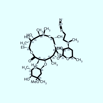 CC[C@H]1OC(=O)[C@H](C)[C@@H](O[C@H]2C[C@@](C)(OC)[C@@H](O)[C@H](C)O2)[C@H](C)[C@@H](O[C@@H]2O[C@H](C)C[C@H](N(C)CCN=[N+]=[N-])[C@H]2O)[C@](C)(O)C[C@@H](C)CN(C)[C@H](C)[C@@H](O)[C@]1(C)O